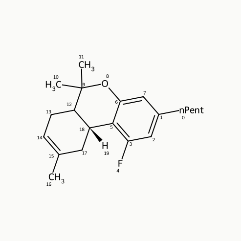 CCCCCc1cc(F)c2c(c1)OC(C)(C)C1CC=C(C)C[C@@H]21